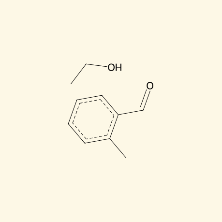 CCO.Cc1ccccc1C=O